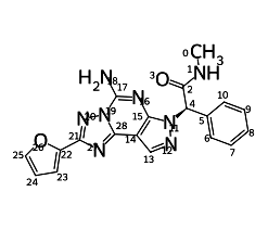 CNC(=O)[C@@H](c1ccccc1)n1ncc2c1nc(N)n1nc(-c3ccco3)nc21